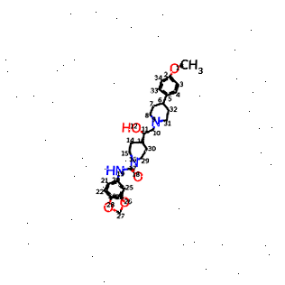 COc1ccc(C2CCN(CC(O)C3CCN(C(=O)Nc4ccc5c(c4)OCO5)CC3)CC2)cc1